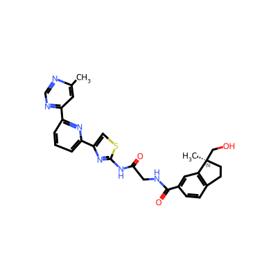 Cc1cc(-c2cccc(-c3csc(NC(=O)CNC(=O)c4ccc5c(c4)[C@@](C)(CO)CC5)n3)n2)ncn1